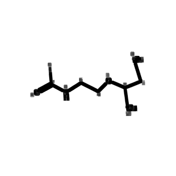 CC(C)(C)CC(OCCNC(=O)I)C(C)(C)C